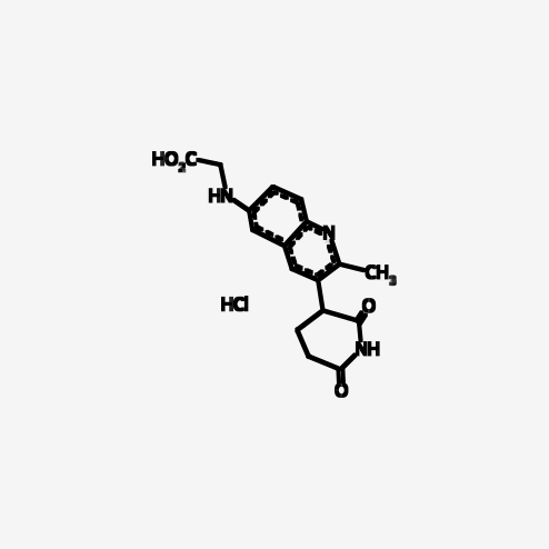 Cc1nc2ccc(NCC(=O)O)cc2cc1C1CCC(=O)NC1=O.Cl